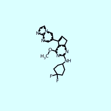 COc1nc(NC2CCC(F)(F)CC2)nc2c1C(c1cnc3nccn3c1)=CC2